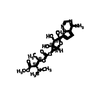 COC(=O)[C@H]([C@@H](C)OC(=O)OC1[C@H]2O[C@@](C)(c3ccc4c(N)ncnn34)[C@H](O)[C@@]12O)N(C)C